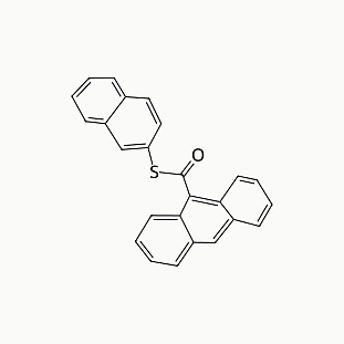 O=C(Sc1ccc2ccccc2c1)c1c2ccccc2cc2ccccc12